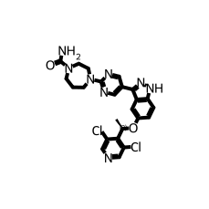 C[C@@H](Oc1ccc2[nH]nc(-c3cnc(N4CCCN(C(N)=O)CC4)nc3)c2c1)c1c(Cl)cncc1Cl